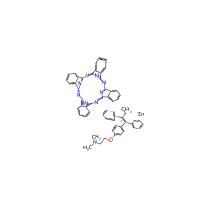 CC/C(=C(\c1ccccc1)c1ccc(OCCN(C)C)cc1)c1ccccc1.[Zn].c1ccc2c(c1)-c1nc-2nc2[nH]c(nc3nc(nc4[nH]c(n1)c1ccccc41)-c1ccccc1-3)c1ccccc21